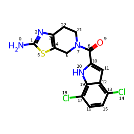 Nc1nc2c(s1)CN(C(=O)c1cc3c(Cl)ccc(Cl)c3[nH]1)CC2